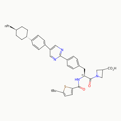 CCC[C@H]1CC[C@H](c2ccc(-c3cnc(-c4ccc(C[C@H](NC(=O)c5ccc(C(C)(C)C)s5)C(=O)N5CC(C(=O)O)C5)cc4)nc3)cc2)CC1